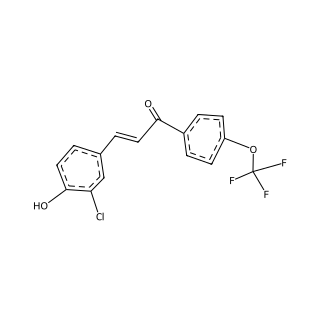 O=C(/C=C/c1ccc(O)c(Cl)c1)c1ccc(OC(F)(F)F)cc1